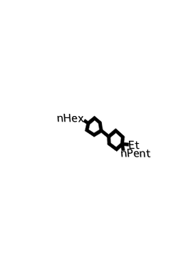 CCCCCCC1CCC(C2CCC(CC)(CCCCC)CC2)CC1